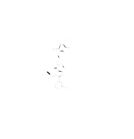 CC#CCn1c(N2CCCC(N)C2)nc2cnn(CC=Cc3c(F)c(F)c(F)c(F)c3F)c(=O)c21